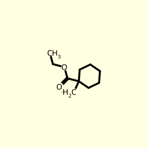 [CH2]C1(C(=O)OCC)CCCCC1